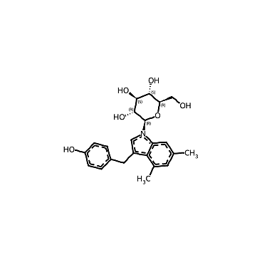 Cc1cc(C)c2c(Cc3ccc(O)cc3)cn([C@@H]3O[C@H](CO)[C@@H](O)[C@H](O)[C@H]3O)c2c1